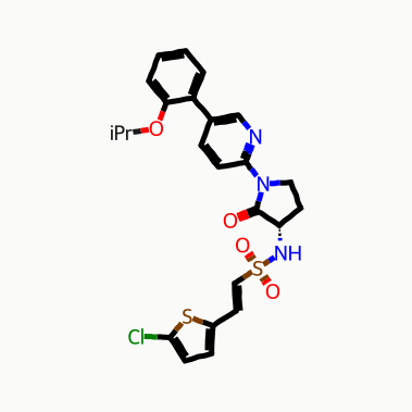 CC(C)Oc1ccccc1-c1ccc(N2CC[C@H](NS(=O)(=O)/C=C/c3ccc(Cl)s3)C2=O)nc1